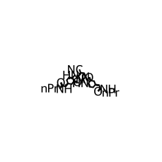 CCCNC(=O)C=C1CC=C(Nc2ncc(C#N)c(NC3=CCC(=CC(=O)NCCC)CC3=O)n2)C(=O)C1